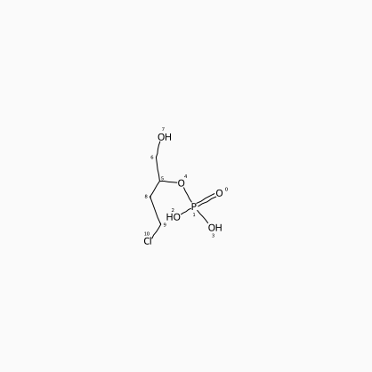 O=P(O)(O)OC(CO)CCCl